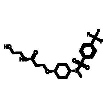 CN([C@H]1CC[C@H](OCCC(=O)NCCO)CC1)S(=O)(=O)c1ccc(C(F)(F)F)cc1